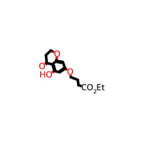 CCOC(=O)CCCOc1cc(O)c2c(c1)OCCC2=O